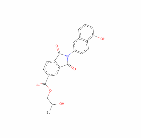 CCC(O)COC(=O)c1ccc2c(c1)C(=O)N(c1ccc3c(O)cccc3c1)C2=O